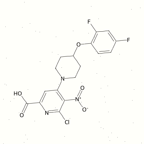 O=C(O)c1cc(N2CCC(Oc3ccc(F)cc3F)CC2)c([N+](=O)[O-])c(Cl)n1